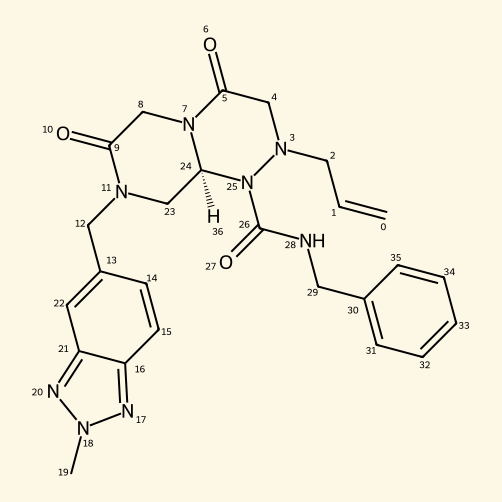 C=CCN1CC(=O)N2CC(=O)N(Cc3ccc4nn(C)nc4c3)C[C@@H]2N1C(=O)NCc1ccccc1